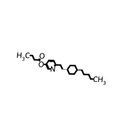 CCCCC[C@H]1CC[C@H](CCc2ccc(OC(=O)CCC)cn2)CC1